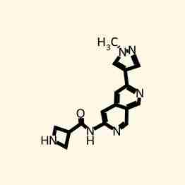 Cn1cc(-c2cc3cc(NC(=O)C4CNC4)ncc3cn2)cn1